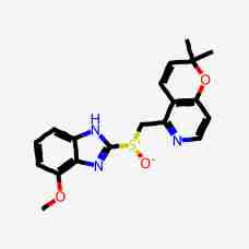 COc1cccc2[nH]c([S+]([O-])Cc3nccc4c3C=CC(C)(C)O4)nc12